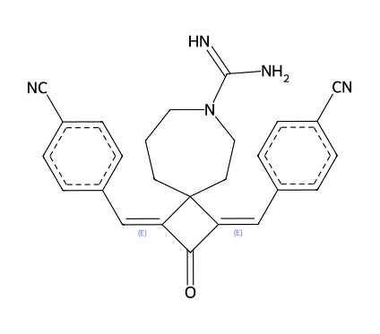 N#Cc1ccc(/C=C2/C(=O)/C(=C/c3ccc(C#N)cc3)C23CCCN(C(=N)N)CC3)cc1